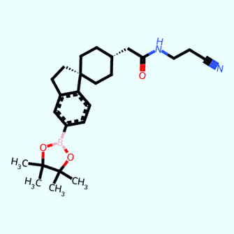 CC1(C)OB(c2ccc3c(c2)CC[C@]32CC[C@@H](CC(=O)NCCC#N)CC2)OC1(C)C